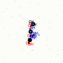 COc1ccc(F)cc1C(=O)NCc1ccc(-n2c(=O)n(C34CCC(C(=O)O)(CC3)CC4)c3ncnc(N)c32)cc1